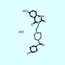 Cl.O=C(c1ccc(F)cc1)C1CCN(CCn2c(=S)[nH]c3ccc(O)cc3c2=O)CC1